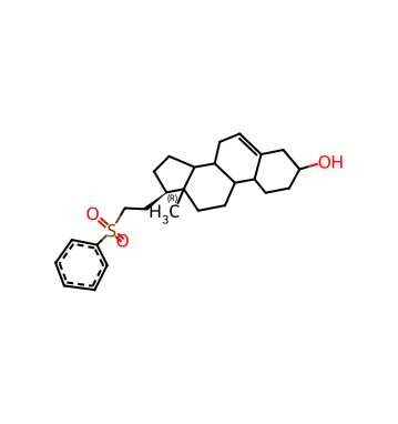 CC12CCC3C4CCC(O)CC4=CCC3C1CC[C@@H]2CCS(=O)(=O)c1ccccc1